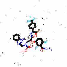 Cn1c(CN(CC(Oc2ccc(F)c(C(N)=O)c2F)c2nc(-c3ccc(C(F)(F)F)cc3)c(Br)o2)C(=O)O)nc2ccccc21